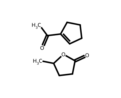 CC(=O)C1=CCCC1.CC1CCC(=O)O1